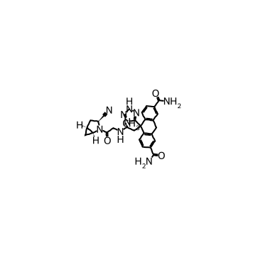 C[C@@H](CC1(c2nn[nH]n2)c2ccc(C(N)=O)cc2Cc2cc(C(N)=O)ccc21)NCC(=O)N1[C@H](C#N)C[C@@H]2C[C@@H]21